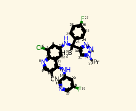 BC(Nc1cc(Cl)c2ncc(C#N)c(Nc3cncc(F)c3)c2c1)(c1ccc(F)cc1)c1cn(C(C)C)nn1